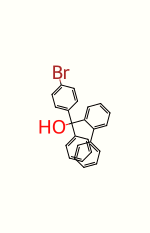 OC(c1ccccc1)(c1ccc(Br)cc1)c1ccccc1-c1ccccc1